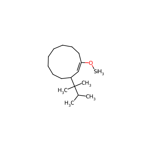 CC(C)C(C)(C)C1C=C(O[SiH3])CCCCCCCC1